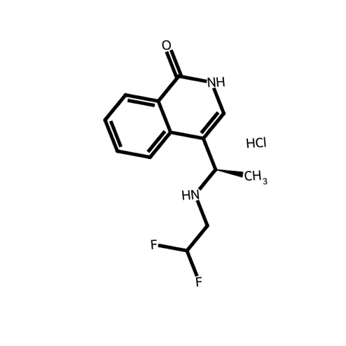 C[C@@H](NCC(F)F)c1c[nH]c(=O)c2ccccc12.Cl